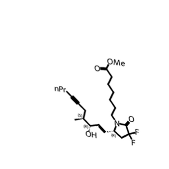 CCCC#CC[C@H](C)[C@@H](O)C=C[C@H]1CC(F)(F)C(=O)N1CCCCCCC(=O)OC